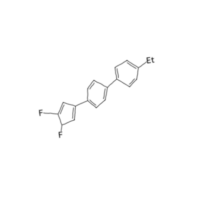 CCc1ccc(-c2ccc(C3=CC(F)C(F)=C3)cc2)cc1